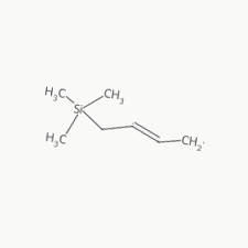 [CH2]C=[C]C[Si](C)(C)C